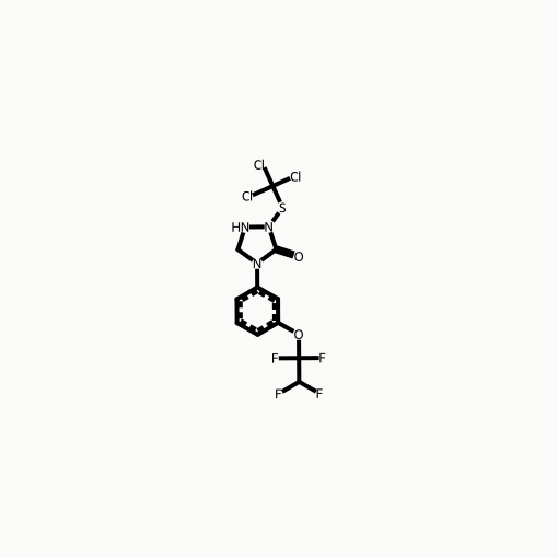 O=C1N(SC(Cl)(Cl)Cl)NCN1c1cccc(OC(F)(F)C(F)F)c1